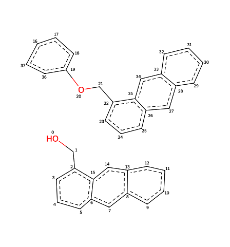 OCc1cccc2cc3ccccc3cc12.c1ccc(OCc2cccc3cc4ccccc4cc23)cc1